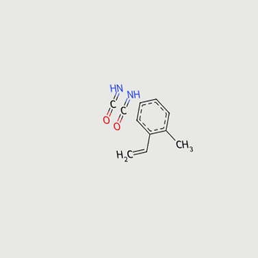 C=Cc1ccccc1C.N=C=O.N=C=O